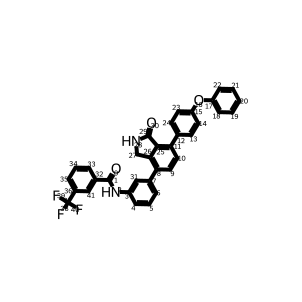 O=C(Nc1cccc(-c2ccc(-c3ccc(Oc4ccccc4)cc3)c3c2CNC3=O)c1)c1cccc(C(F)(F)F)c1